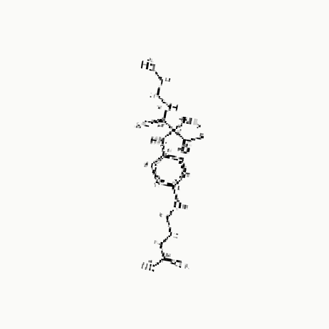 CC(=O)C(N)(Nc1ccc(OCCCC(=O)O)cc1)C(=O)NCCO